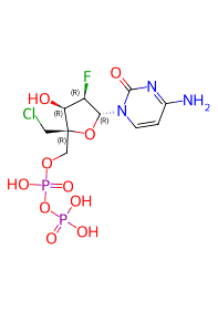 Nc1ccn([C@@H]2O[C@](CCl)(COP(=O)(O)OP(=O)(O)O)[C@@H](O)[C@H]2F)c(=O)n1